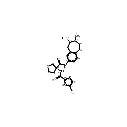 C[C@@H]1Cc2cc(NC(=O)[C@]3(NC(=O)c4ccc(Cl)s4)CCOC3)ccc2CCN1C